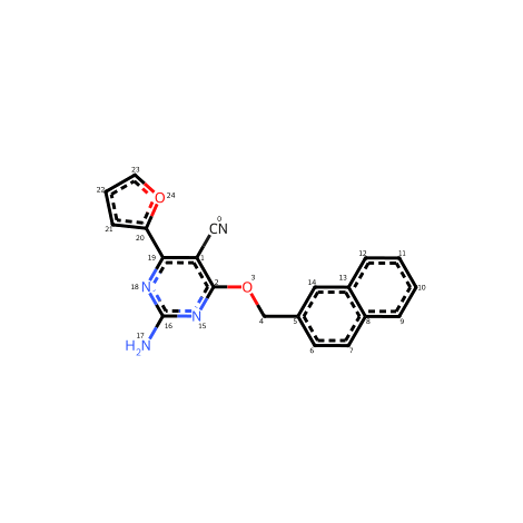 N#Cc1c(OCc2ccc3ccccc3c2)nc(N)nc1-c1ccco1